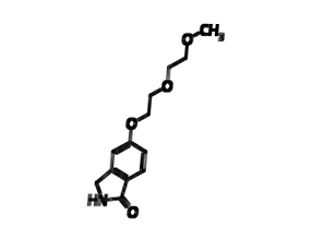 COCCOCCOc1ccc2c(c1)CNC2=O